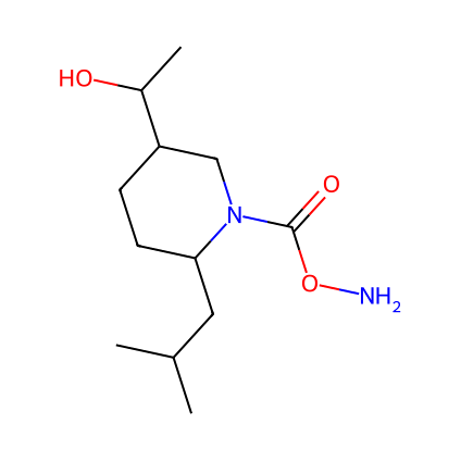 CC(C)CC1CCC(C(C)O)CN1C(=O)ON